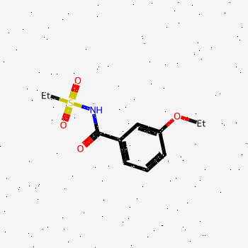 CCOc1cccc(C(=O)NS(=O)(=O)CC)c1